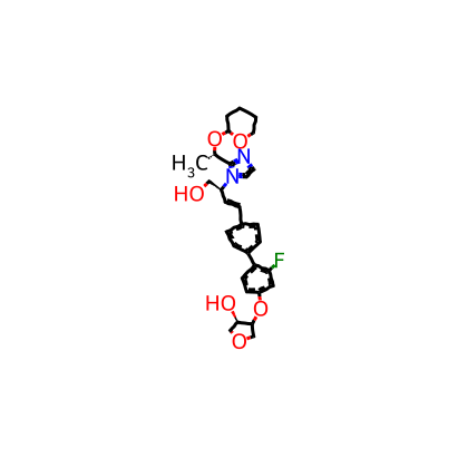 C[C@H](OC1CCCCO1)c1nccn1[C@@H](/C=C/c1ccc(-c2ccc(OC3COC[C@H]3O)cc2F)cc1)CO